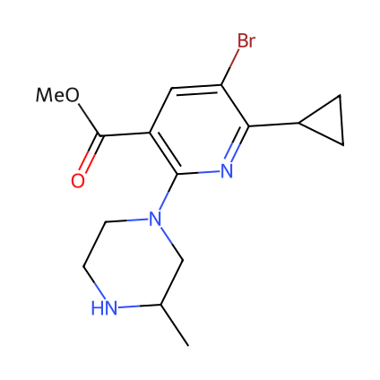 COC(=O)c1cc(Br)c(C2CC2)nc1N1CCNC(C)C1